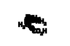 Cc1nc(CC(C)C)c(CN)c(-c2ccc(CN)cc2)c1CSc1ccc(C(=O)O)cc1.Cl.Cl